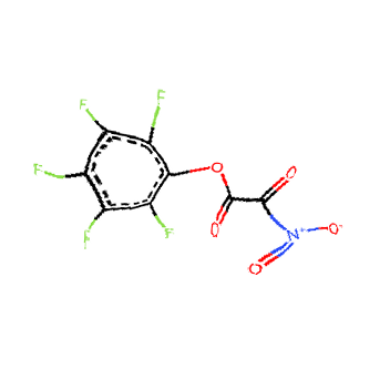 O=C(Oc1c(F)c(F)c(F)c(F)c1F)C(=O)[N+](=O)[O-]